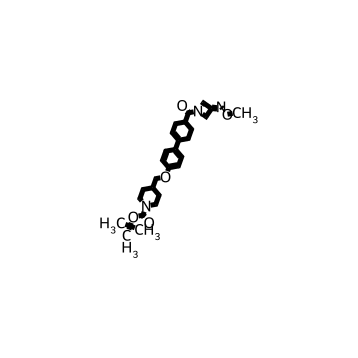 CON=C1CN(C(=O)C2CC=C(c3ccc(OCC4CCN(C(=O)OC(C)(C)C)CC4)cc3)CC2)C1